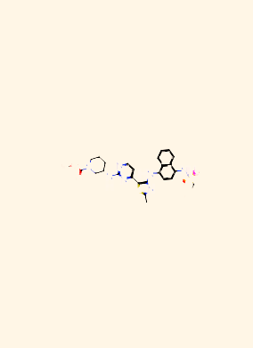 Cc1nc(Nc2ccc(NS(=O)(=O)CC(F)(F)F)c3ccccc23)c(-c2ccnc(N[C@H]3C[C@H](F)CN(C(=O)OC(C)(C)C)C3)n2)s1